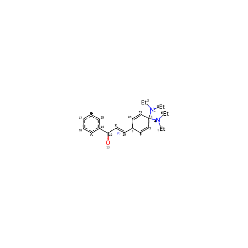 CCN(CC)C1(N(CC)CC)C=CC(/C=C/C(=O)c2ccccc2)C=C1